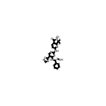 CCN1C(=O)c2ccc(Nc3ncc(-c4ncno4)c(N[C@H](CO)c4ccccc4)n3)nc2C1(C)C